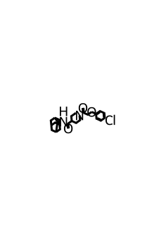 O=C(NC12CC3CC(CC(C3)C1)C2)C1CCN(C(=O)COc2ccc(Cl)cc2)CC1